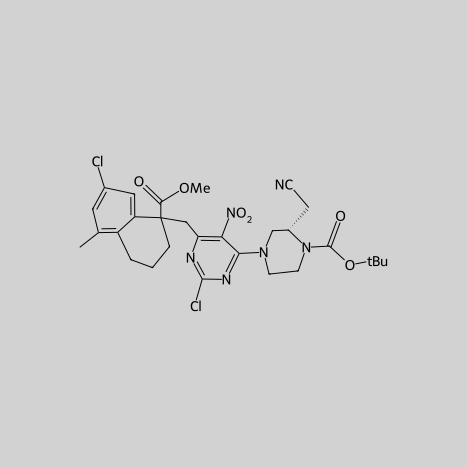 COC(=O)C1(Cc2nc(Cl)nc(N3CCN(C(=O)OC(C)(C)C)[C@@H](CC#N)C3)c2[N+](=O)[O-])CCCc2c(C)cc(Cl)cc21